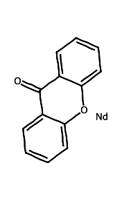 O=c1c2ccccc2oc2ccccc12.[Nd]